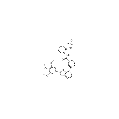 COc1cc(-c2cc3nccc(-c4cccc(C(=O)N[C@@H]5CCCC[C@@H]5N[SH](C)(C)=O)c4)c3o2)cc(OC)c1OC